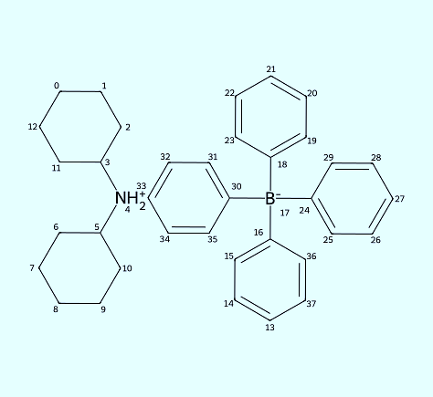 C1CCC([NH2+]C2CCCCC2)CC1.c1ccc([B-](c2ccccc2)(c2ccccc2)c2ccccc2)cc1